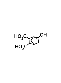 O=C(O)C1C2=C(O)CC(C2)C1C(=O)O